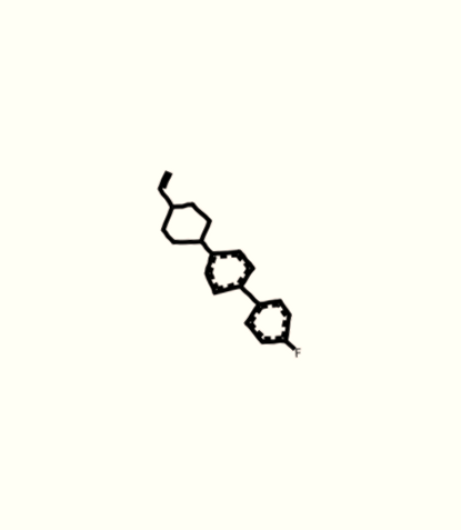 C=CC1CCC(c2ccc(-c3ccc(F)cc3)cc2)CC1